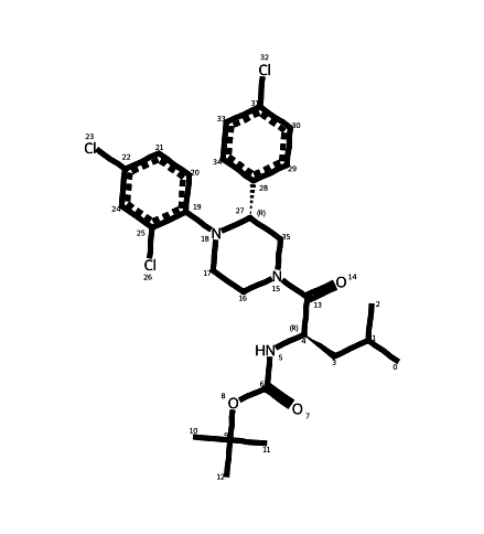 CC(C)C[C@@H](NC(=O)OC(C)(C)C)C(=O)N1CCN(c2ccc(Cl)cc2Cl)[C@H](c2ccc(Cl)cc2)C1